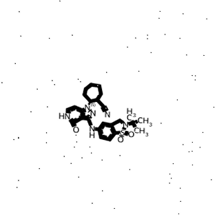 CC(C)(C)N1Cc2cc(Nc3nn([C@H]4CCCCCC4C#N)c4cc[nH]c(=O)c34)ccc2S1(=O)=O